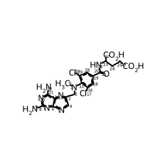 CN(Cc1cnc2nc(N)nc(N)c2n1)c1c(Cl)cc(C(=O)NC(CCC(=O)O)C(=O)O)cc1Cl